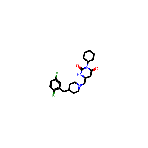 O=C1CC(CN2CCC(Cc3cc(F)ccc3Br)CC2)NC(=O)N1C1CCCCC1